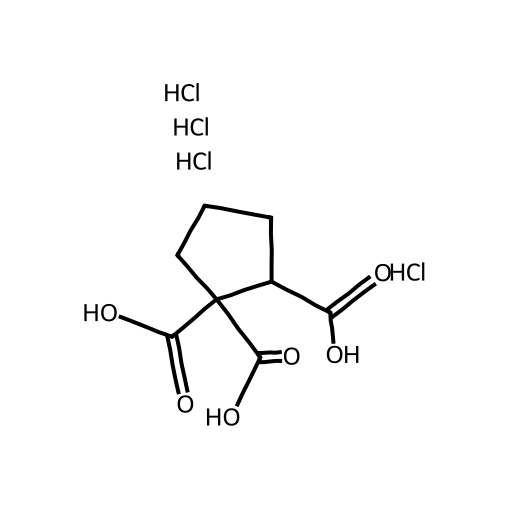 Cl.Cl.Cl.Cl.O=C(O)C1CCCC1(C(=O)O)C(=O)O